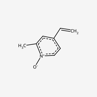 C=Cc1cc[n+]([O-])c(C)c1